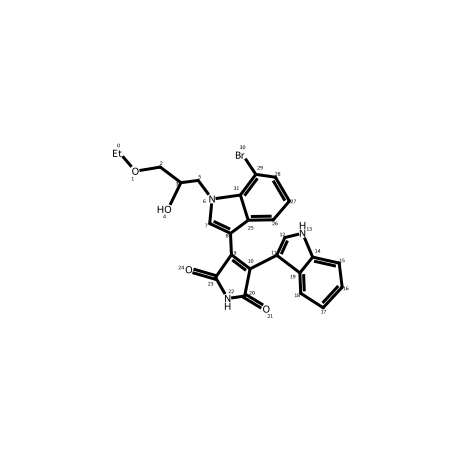 CCOCC(O)Cn1cc(C2=C(c3c[nH]c4ccccc34)C(=O)NC2=O)c2cccc(Br)c21